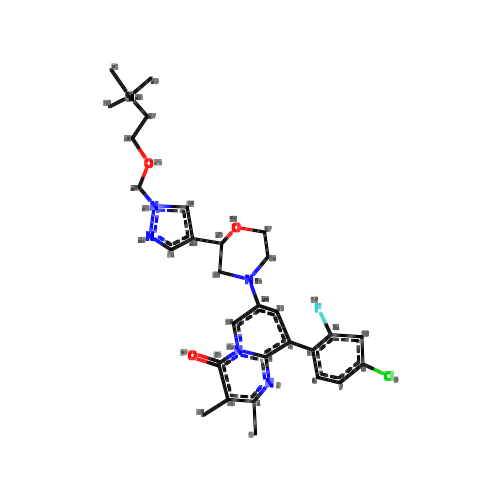 Cc1nc2c(-c3ccc(Cl)cc3F)cc(N3CCOC(c4cnn(COCC[Si](C)(C)C)c4)C3)cn2c(=O)c1C